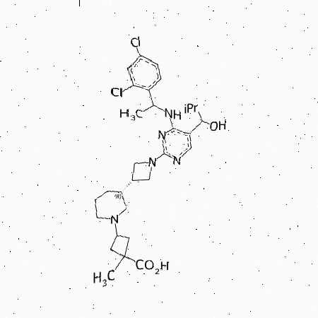 CC(Nc1nc(N2CC([C@H]3CCCN(C4CC(C)(C(=O)O)C4)C3)C2)ncc1C(O)C(C)C)c1ccc(Cl)cc1Cl